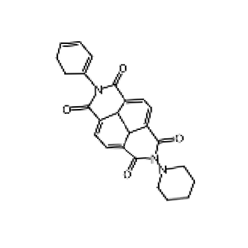 O=C1C2=CC=C3C(=O)N(N4CCCCC4)C(=O)C4=CC=C(C(=O)N1C1=CC=CCC1)C2C34